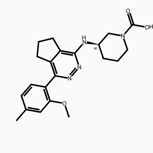 COc1cc(C)ccc1-c1nnc(N[C@@H]2CCCN(C(=O)O)C2)c2c1CCC2